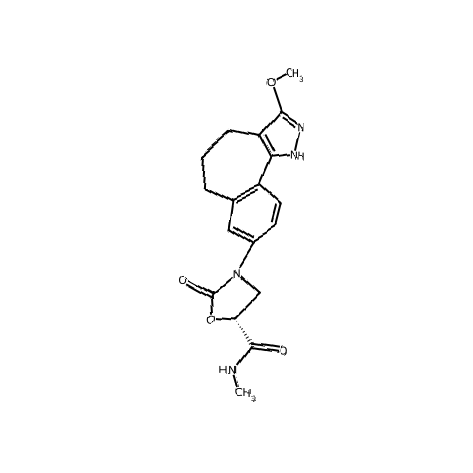 CNC(=O)[C@H]1CN(c2ccc3c(c2)CCCc2c(OC)n[nH]c2-3)C(=O)O1